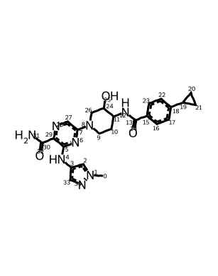 Cn1cc(Nc2nc(N3CCC(NC(=O)c4ccc(C5CC5)cc4)C(O)C3)cnc2C(N)=O)cn1